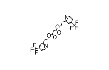 O=C(CC(=O)OCCc1cc(C(F)(F)F)ccn1)OCCc1cc(C(F)(F)F)ccn1